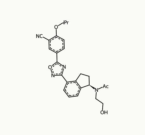 CC(=O)N(CCO)[C@@H]1CCc2c(-c3noc(-c4ccc(OC(C)C)c(C#N)c4)n3)cccc21